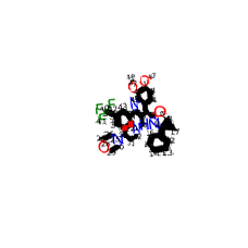 COc1ccc2c(C(=O)NC3(c4ccccc4)CC3)c(CN3CCC(N4CCOCC4)CC3)c(-c3cccc(C(F)(F)F)c3)nc2c1OC